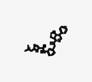 CN(C)Cc1nc(C(=O)Nc2cccc(CNc3ncc(-c4ccncc4)c4c3CCO4)c2)cs1